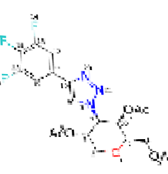 CC(=O)OC[C@H]1O[CH][C@H](OC(C)=O)[C@@H](n2cc(-c3cc(F)c(F)c(F)c3)nn2)[C@H]1OC(C)=O